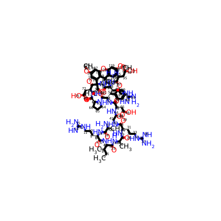 CC[C@H](C)[C@H](NC(=O)[C@H](CCCNC(=N)N)NC(=O)[C@H](C)N)C(=O)N[C@@H](C)C(=O)N[C@@H](CCCNC(=N)N)C(=O)NCC(=O)N[C@@H](CC(=O)O)C(=O)N[C@@H](Cc1ccccc1)C(=O)N1CCC[C@H]1C(=O)N[C@@H](CC(=O)O)C(=O)C(NC(=O)[C@H](CCCNC(=N)N)NC(=O)[C@@H](N)CC(=O)O)(C(C)=O)c1cc(OC)cc2c1C(C)(C)c1ccc(OC)cc1O2